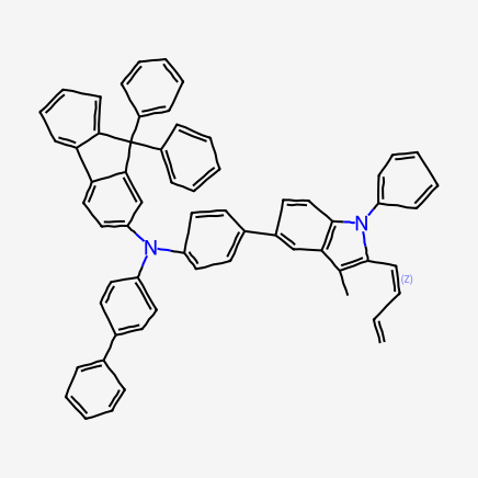 C=C/C=C\c1c(C)c2cc(-c3ccc(N(c4ccc(-c5ccccc5)cc4)c4ccc5c(c4)C(c4ccccc4)(c4ccccc4)c4ccccc4-5)cc3)ccc2n1-c1ccccc1